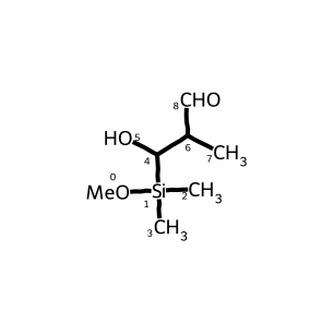 CO[Si](C)(C)C(O)C(C)C=O